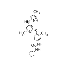 Cc1cc(Nc2cc(C)nc(Sc3ccc(NC(=O)NC4CCCC4)cc3C)n2)[nH]n1